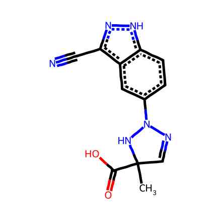 CC1(C(=O)O)C=NN(c2ccc3[nH]nc(C#N)c3c2)N1